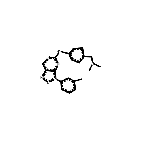 CN(C)Cc1ccc(Nc2ncc3nnn(-c4cccc(F)c4)c3n2)cc1